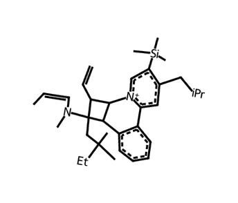 C=CC1C2C(c3ccccc3-c3cc(CC(C)C)c([Si](C)(C)C)c[n+]32)C1(CC(C)(C)CC)N(C)/C=C\C